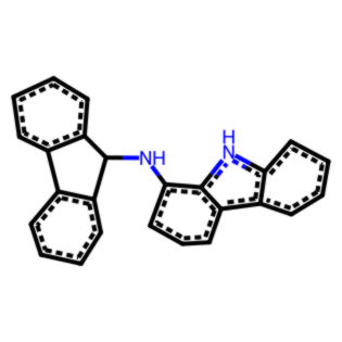 c1ccc2c(c1)-c1ccccc1C2Nc1cccc2c1[nH]c1ccccc12